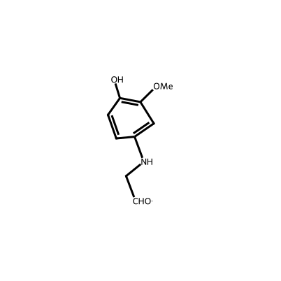 COc1cc(NC[C]=O)ccc1O